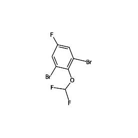 Fc1cc(Br)c(OC(F)F)c(Br)c1